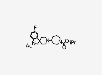 CC(=O)N1CC2(CCN(C3CCCN(C(=O)OC(C)C)CC3)CC2)c2cc(F)ccc21